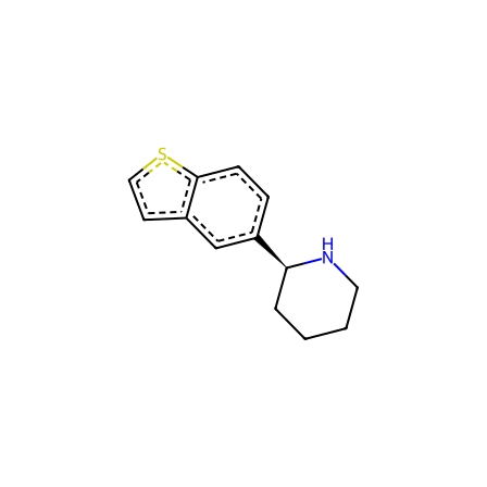 c1cc2cc([C@@H]3CCCCN3)ccc2s1